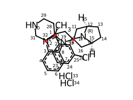 Cc1nc2ccccc2n1C1C[C@H]2CC[C@@H](C1)N2CCC1(c2cccc(Cl)c2)CCNCC1.Cl.Cl